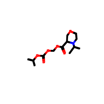 CC(C)OC(=O)OCOC(=O)C1COCCN1C(C)C